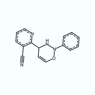 N#Cc1cccnc1C1C=CON(c2ccccc2)N1